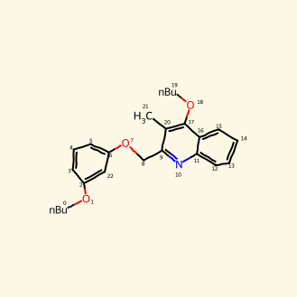 CCCCOc1cccc(OCc2nc3ccccc3c(OCCCC)c2C)c1